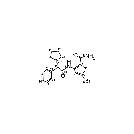 NC(=O)c1sc(Br)cc1NC(=O)C(c1ccccc1)N1CCCC1